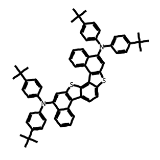 CC(C)(C)c1ccc(N(c2ccc(C(C)(C)C)cc2)c2cc3sc4c(ccc5sc6cc(N(c7ccc(C(C)(C)C)cc7)c7ccc(C(C)(C)C)cc7)c7ccccc7c6c54)c3c3ccccc23)cc1